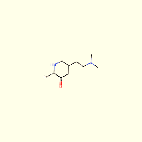 CCC1NCC(CCN(C)C)CC1=O